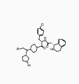 CC(=O)N1CC[C@@H](N(CC(C)C)C2CCN(C(=O)[C@@H](Cc3ccc(Cl)cc3)NC(=O)C[C@H]3NCCc4ccccc43)CC2)C1